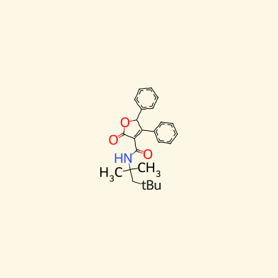 CC(C)(C)CC(C)(C)NC(=O)C1=C(c2ccccc2)C(c2ccccc2)OC1=O